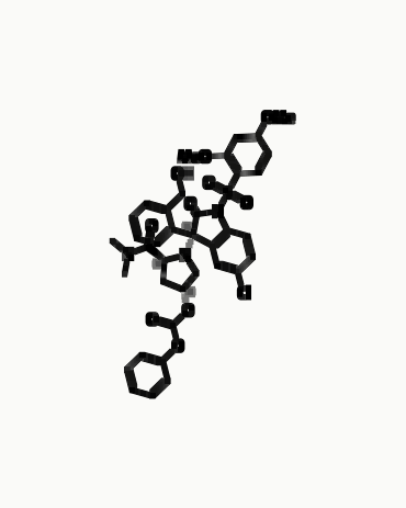 COc1ccc(S(=O)(=O)N2C(=O)[C@@](c3ccccc3CO)(N3C[C@H](OC(=O)Oc4ccccc4)C[C@H]3C(=O)N(C)C)c3cc(Cl)ccc32)c(OC)c1